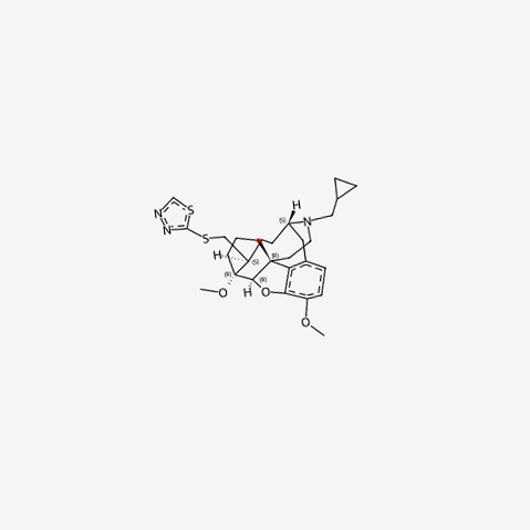 COc1ccc2c3c1O[C@@H]1[C@@]34CCC[C@@]1(OC)[C@@H](CSc1nncs1)CC[C@@H](C2)N(CC1CC1)CC4